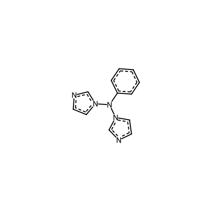 c1ccc(N(n2ccnc2)n2ccnc2)cc1